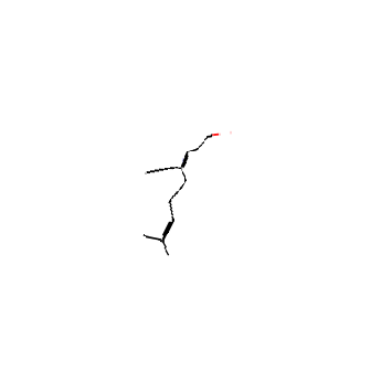 CC(C)=CCC/C(C)=C\CCO